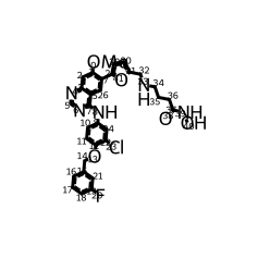 COc1cc2ncnc(Nc3ccc(OCc4cccc(F)c4)c(Cl)c3)c2cc1-c1ccc(CNCCCC(=O)NO)o1